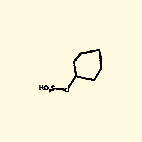 O=S(=O)(O)OC1CCCCC1